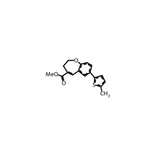 COC(=O)C1=Cc2cc(-c3ccc(C)s3)ccc2OCC1